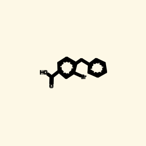 O=C(O)c1ccc(Cc2ccccc2)c(Br)c1